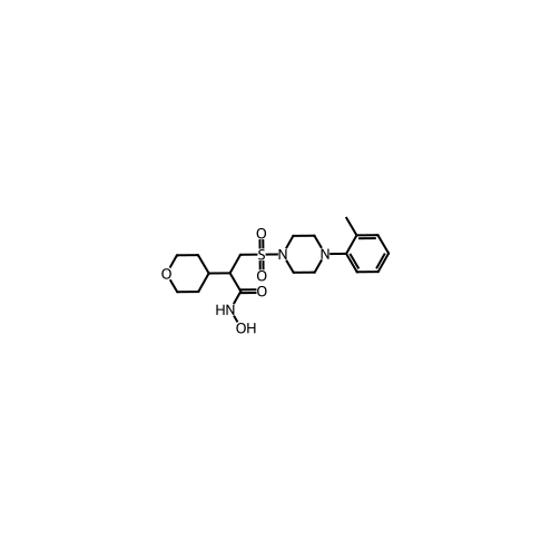 Cc1ccccc1N1CCN(S(=O)(=O)CC(C(=O)NO)C2CCOCC2)CC1